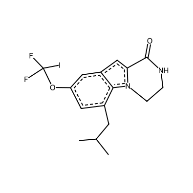 CC(C)Cc1cc(OC(F)(F)I)cc2cc3n(c12)CCNC3=O